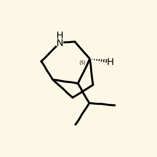 CC(C)C1C2CC[C@@H]1CNC2